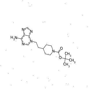 CC(C)(C)OC(=O)N1CCC(CCn2cnc(N)c3ncnc2-3)CC1